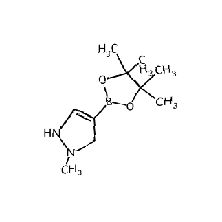 CN1CC(B2OC(C)(C)C(C)(C)O2)=CN1